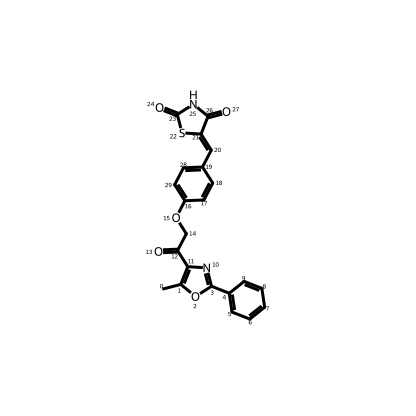 Cc1oc(-c2ccccc2)nc1C(=O)COc1ccc(/C=C2\SC(=O)NC2=O)cc1